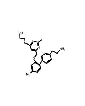 Cc1nc(COc2cc(C#N)ccc2-c2ccc(CCN)cc2)cc(OCCO)n1